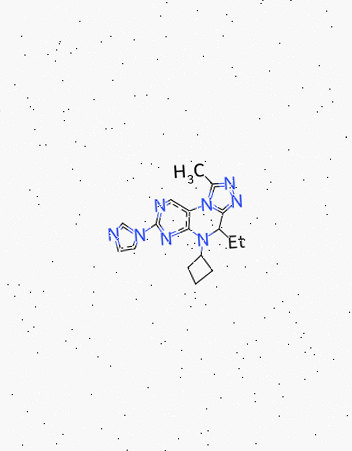 CCC1c2nnc(C)n2-c2cnc(-n3ccnc3)nc2N1C1CCC1